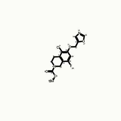 CC(C)(C)OC(=O)N1CCc2c(Cl)c(OCc3cnco3)cc(F)c2C1